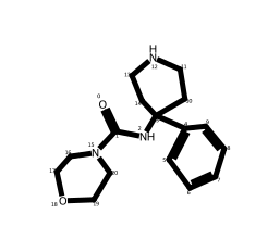 O=C(NC1(c2ccccc2)CCNCC1)N1CCOCC1